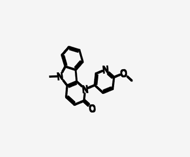 COc1ccc(-n2c(=O)ccc3c2c2ccccc2n3C)cn1